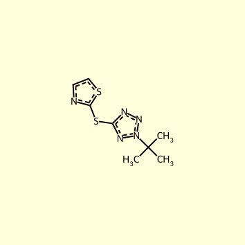 CC(C)(C)n1nnc(Sc2nccs2)n1